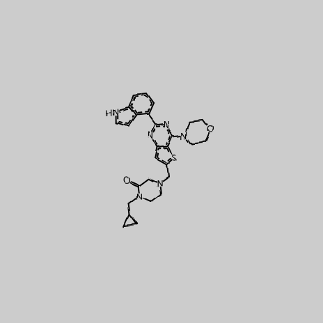 O=C1CN(Cc2cc3nc(-c4cccc5[nH]ccc45)nc(N4CCOCC4)c3s2)CCN1CC1CC1